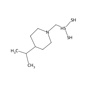 CC(C)C1CCN(C[SH](S)S)CC1